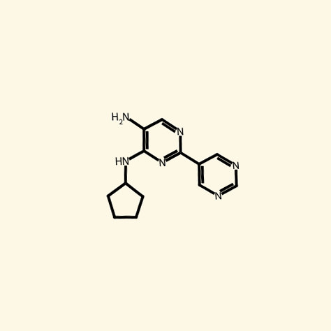 Nc1cnc(-c2cncnc2)nc1NC1CCCC1